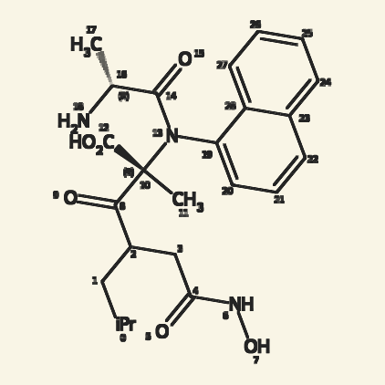 CC(C)CC(CC(=O)NO)C(=O)[C@](C)(C(=O)O)N(C(=O)[C@@H](C)N)c1cccc2ccccc12